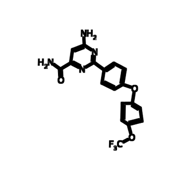 NC(=O)c1cc(N)nc(-c2ccc(Oc3ccc(OC(F)(F)F)cc3)cc2)n1